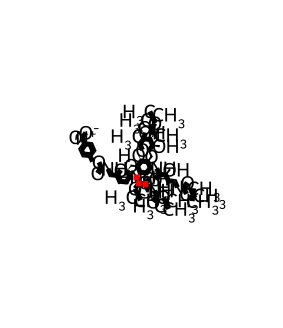 CN(C(=O)OC(C)(C)C)[C@@H]1[C@@H](O)[C@@H](O[C@@H]2[C@@H](O)[C@H](O[C@H]3OC(CNC(=O)OCc4ccc([N+](=O)[O-])cc4)=CC[C@H]3NCC(O)CNC(=O)OC(C)(C)C)[C@@H](NC(=O)OC(C)(C)C)C[C@H]2NC(=O)[C@@H](O)CCNC(=O)OC(C)(C)C)OC[C@]1(C)O